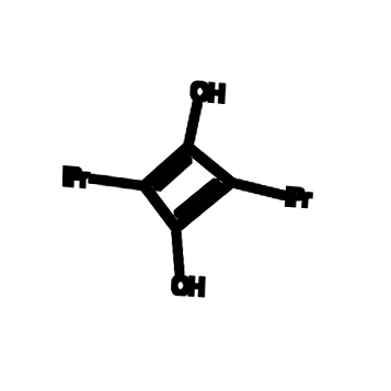 CC(C)C1=C(O)C(C(C)C)=C1O